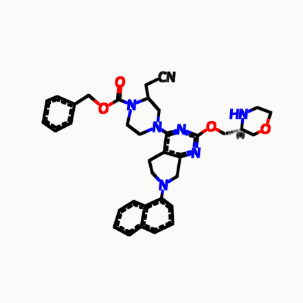 N#CCC1CN(c2nc(OC[C@H]3COCCN3)nc3c2CCN(c2cccc4ccccc24)C3)CCN1C(=O)OCc1ccccc1